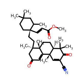 COC(=O)/C=C/[C@]1(CC[C@]2(C)CC(=O)C=C3[C@@]4(C)C=C(C#N)C(=O)C(C)(C)[C@@H]4CC[C@]32C)CCC(C)(C)CC1C